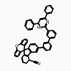 N#CC1CC=CC2=C1c1cc(-c3cccc(-c4cccc(C5=NC(c6ccccc6)=CC(c6ccccc6)N5)c4)c3)ccc1C21c2ccccc2Oc2ccccc21